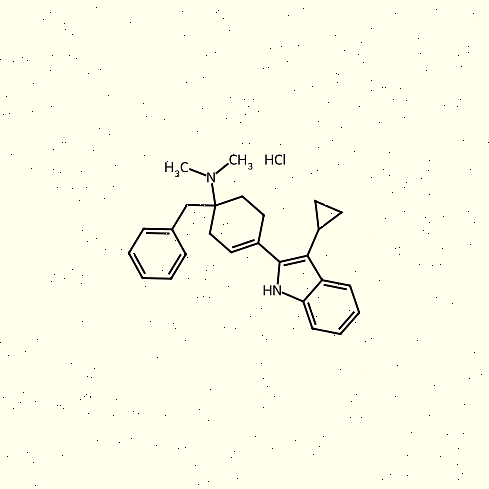 CN(C)C1(Cc2ccccc2)CC=C(c2[nH]c3ccccc3c2C2CC2)CC1.Cl